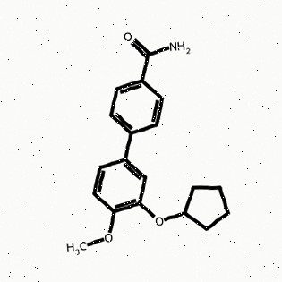 COc1ccc(-c2ccc(C(N)=O)cc2)cc1OC1CCCC1